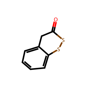 O=C1Cc2ccccc2SS1